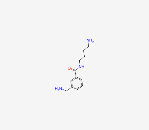 NCCCCNC(=O)c1cccc(CN)c1